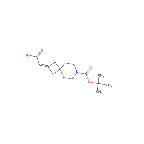 CC(C)(C)OC(=O)N1CCC2(CC1)CC(=CC(=O)O)C2